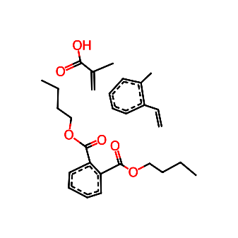 C=C(C)C(=O)O.C=Cc1ccccc1C.CCCCOC(=O)c1ccccc1C(=O)OCCCC